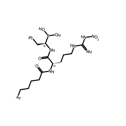 CC(=O)CCCCC(=O)N[C@@H](CCCNC(=N)N[N+](=O)[O-])C(=O)N[C@@H](CC(C)C)B(O)O